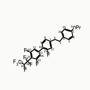 CCCc1ccc(CCc2ccc(-c3cc(F)c(C(F)(F)C(F)C(F)(F)F)c(F)c3)c(F)c2)cc1